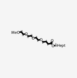 CCCCCCCOC(=O)CCCOCCOCCOCCOC